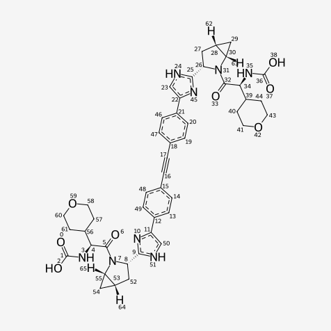 O=C(O)N[C@H](C(=O)N1[C@H](c2nc(-c3ccc(C#Cc4ccc(-c5c[nH]c([C@@H]6C[C@@H]7C[C@@H]7N6C(=O)[C@@H](NC(=O)O)C6CCOCC6)n5)cc4)cc3)c[nH]2)C[C@@H]2C[C@@H]21)C1CCOCC1